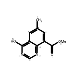 COC(=O)c1cc(C)cc2c(O)ncnc12